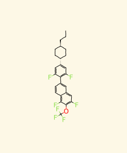 CCC[C@H]1CC[C@H](c2cc(F)c(-c3ccc4c(F)c(OC(F)(F)F)c(F)cc4c3)c(F)c2)CC1